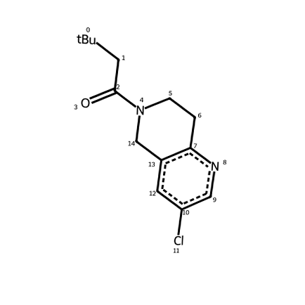 CC(C)(C)CC(=O)N1CCc2ncc(Cl)cc2C1